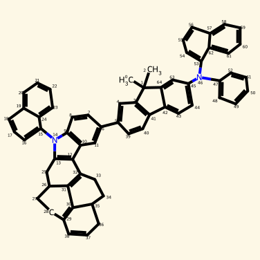 CC1(C)c2cc(-c3ccc4c(c3)c3c(n4-c4cccc5ccccc45)CC4CCC5=C6C4=C3CCC6CC=C5)ccc2-c2ccc(N(c3ccccc3)c3cccc4ccccc34)cc21